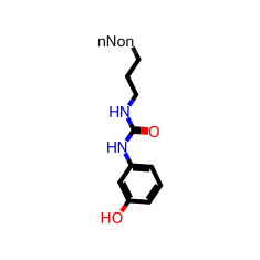 CCCCCCCCCCCCNC(=O)Nc1cccc(O)c1